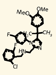 COc1ccc(C(C)(C)c2cnc(CNCc3c(F)cccc3Cl)n2-c2ccc(F)cc2)cc1OC